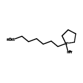 CCCCCCCCCCCCCC[N+]1(CCC)CCCC1